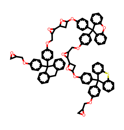 c1ccc2c(c1)Cc1ccccc1C2(c1ccc(OCC2CO2)cc1)c1ccc(OCC2OC2C2CC(Oc3ccc(C4(c5ccc(OCC6OC6C6CC(Oc7ccc(C8(c9ccc(OCC%10CO%10)cc9)c9ccccc9Sc9ccccc98)cc7)O6)cc5)c5ccccc5Oc5ccccc54)cc3)O2)cc1